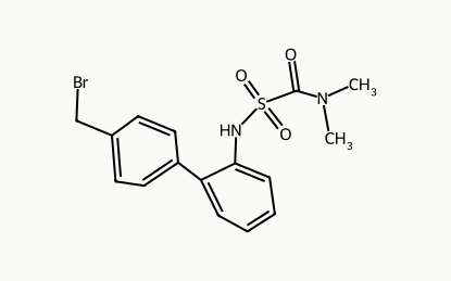 CN(C)C(=O)S(=O)(=O)Nc1ccccc1-c1ccc(CBr)cc1